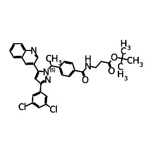 C[C@@H](c1ccc(C(=O)NCCC(=O)OC(C)(C)C)cc1)n1nc(-c2cc(Cl)cc(Cl)c2)cc1-c1cnc2ccccc2c1